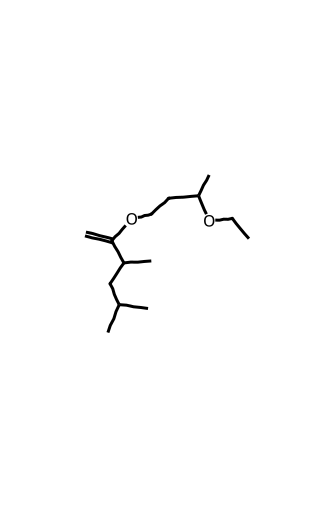 C=C(OCCC(C)OCC)C(C)CC(C)C